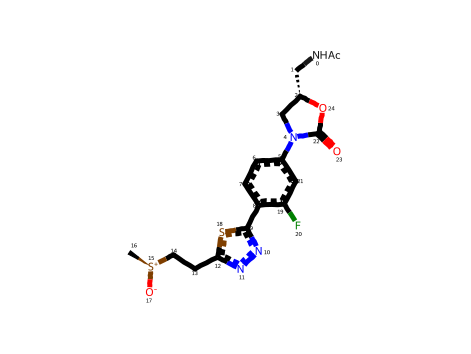 CC(=O)NC[C@H]1CN(c2ccc(-c3nnc(CC[S@+](C)[O-])s3)c(F)c2)C(=O)O1